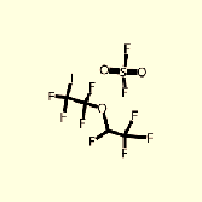 FC(OC(F)(F)C(F)(F)I)C(F)(F)F.O=S(=O)(F)F